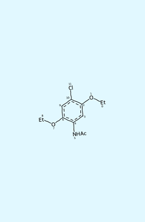 CCOc1cc(NC(C)=O)c(OCC)cc1Cl